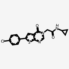 O=C(Cn1cnc2sc(-c3ccc(Cl)cc3)cc2c1=O)NC1CC1